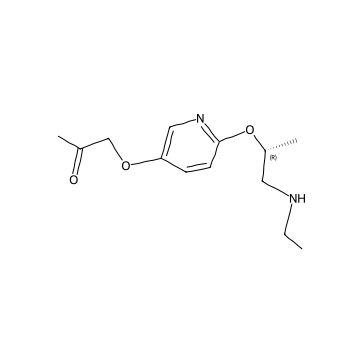 CCNC[C@@H](C)Oc1ccc(OCC(C)=O)cn1